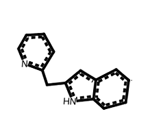 [c]1ccc2[nH]c(Cc3ccccn3)cc2c1